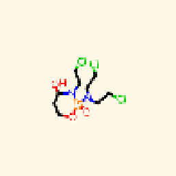 O=P1(N(CCCl)CCCl)OCCC(O)N1CCCl